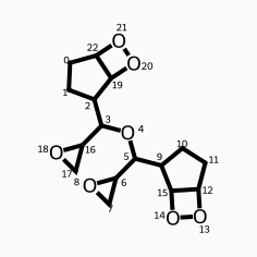 C1CC(C(OC(C2CO2)C2CCC3OOC32)C2CO2)C2OOC12